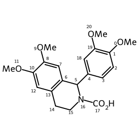 COc1ccc(C2c3cc(OC)c(OC)cc3CCN2C(=O)O)cc1OC